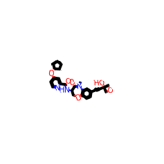 CN1C(=O)[C@H](NC(=O)c2cc(OC3CCCC3)ccn2)COc2ccc(C#CC3(O)COC3)cc21